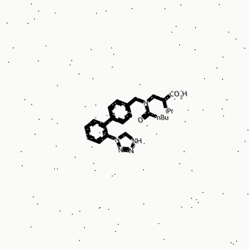 CCCCC(=O)N(Cc1ccc(-c2ccccc2N2CNN=N2)cc1)CC(C(=O)O)C(C)C